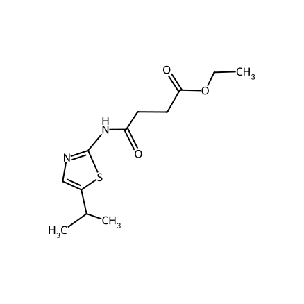 CCOC(=O)CCC(=O)Nc1ncc(C(C)C)s1